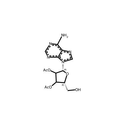 CC(=O)OC1C(OC(C)=O)[C@@H](CO)O[C@H]1n1cnc2c(N)ncnc21